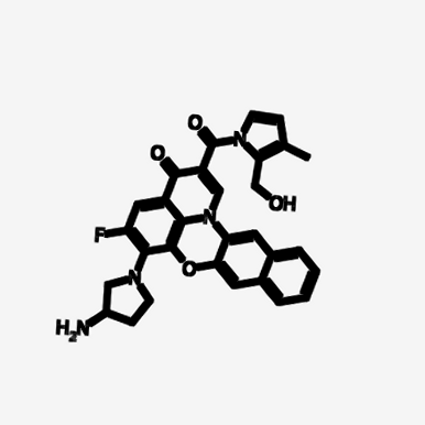 Cc1ccn(C(=O)c2cn3c4c(c(N5CCC(N)C5)c(F)cc4c2=O)Oc2cc4ccccc4cc2-3)c1CO